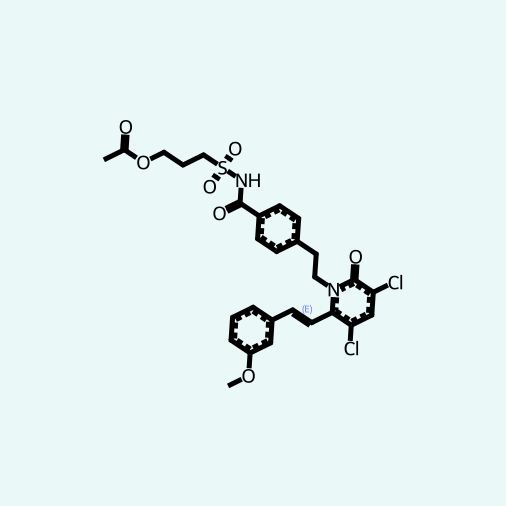 COc1cccc(/C=C/c2c(Cl)cc(Cl)c(=O)n2CCc2ccc(C(=O)NS(=O)(=O)CCCOC(C)=O)cc2)c1